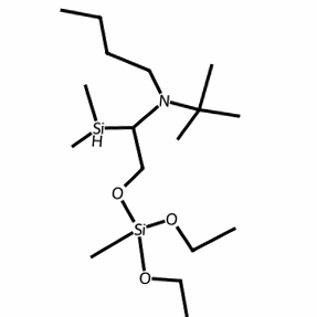 CCCCN(C(CO[Si](C)(OCC)OCC)[SiH](C)C)C(C)(C)C